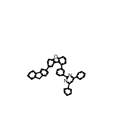 c1ccc(-c2cc(-c3ccccc3)nc(-c3cccc(-c4cccc5oc6ccc(-c7ccc8c(c7)-c7ccccc7C8)cc6c45)c3)n2)cc1